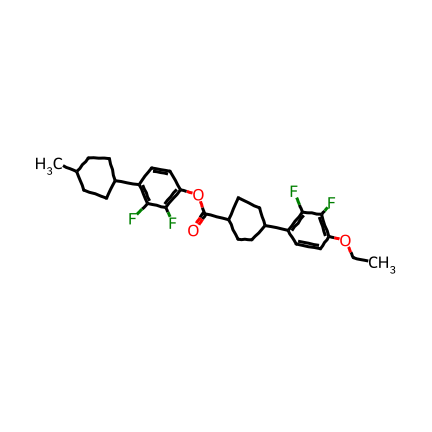 CCOc1ccc(C2CCC(C(=O)Oc3ccc(C4CCC(C)CC4)c(F)c3F)CC2)c(F)c1F